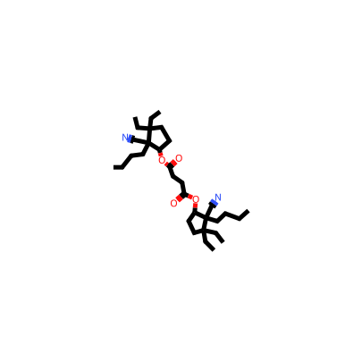 CCCCC1(C#N)C(OC(=O)CCC(=O)OC2CCC(CC)(CC)C2(C#N)CCCC)CCC1(CC)CC